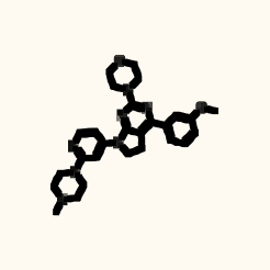 COc1cccc(-c2nc(N3CCOCC3)nc3c2CCN3c2ccnc(N3CCN(C)CC3)c2)c1